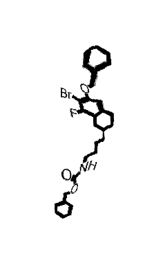 O=C(NCCCC[C@@H]1CCc2cc(OCc3ccccc3)c(Br)c(F)c2C1)OCc1ccccc1